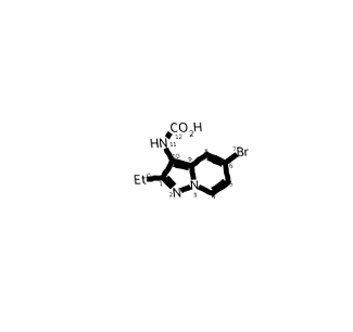 CCc1nn2ccc(Br)cc2c1NC(=O)O